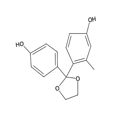 Cc1cc(O)ccc1C1(c2ccc(O)cc2)OCCO1